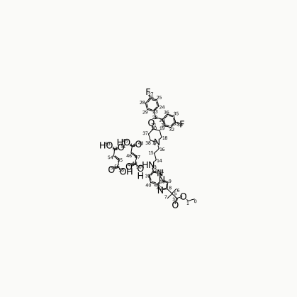 CCOC(=O)C(C)(C)c1cn2nc(NCCCN3CCC(OC(c4ccc(F)cc4)c4ccc(F)cc4)CC3)ccc2n1.O=C(O)C=CC(=O)O.O=C(O)C=CC(=O)O